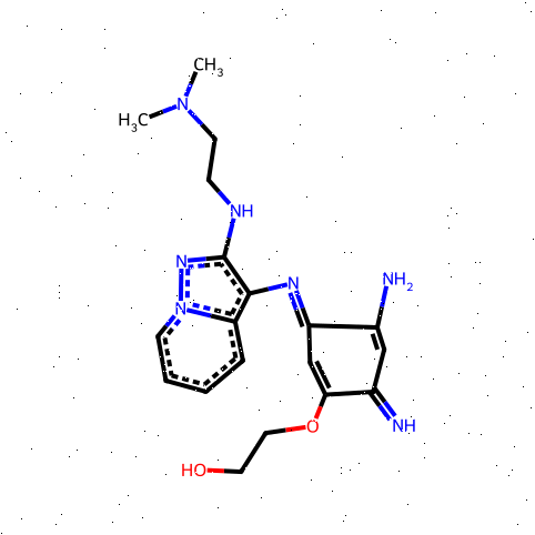 CN(C)CCNc1nn2ccccc2c1N=C1C=C(OCCO)C(=N)C=C1N